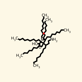 CCCCCCCCCC(CCN)C(CCCCCCCCC)(CCCCCCCCC)C(CCCCCCCCC)(C(=O)O)N(CCCCCCCCC)CCCCCCCCC